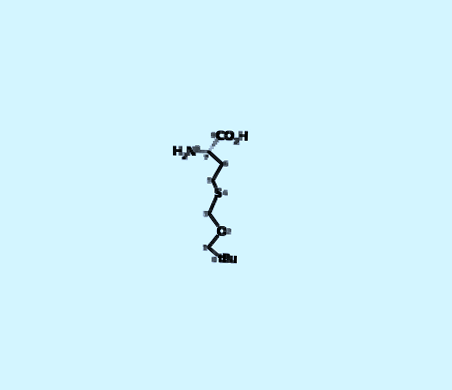 CC(C)(C)COCSCC[C@H](N)C(=O)O